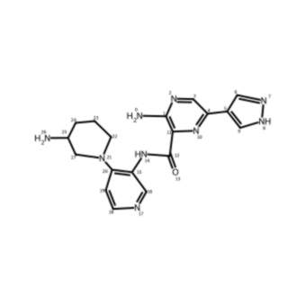 Nc1ncc(-c2cn[nH]c2)nc1C(=O)Nc1cnccc1N1CCCC(N)C1